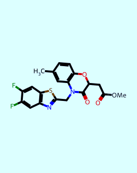 COC(=O)CC1Oc2ccc(C)cc2N(Cc2nc3cc(F)c(F)cc3s2)C1=O